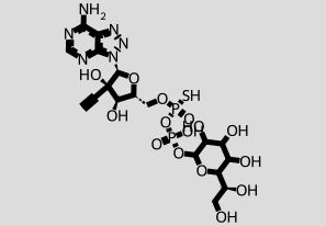 C#C[C@@]1(O)[C@H](O)[C@@H](COP(=O)(S)OP(=O)(O)OC2OC([C@@H](O)CO)C(O)C(O)C2O)O[C@H]1n1nnc2c(N)ncnc21